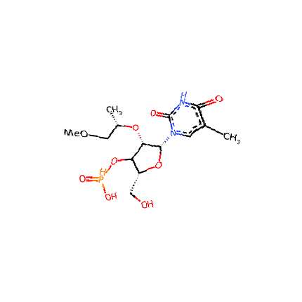 COC[C@H](C)O[C@H]1C(O[PH](=O)O)[C@@H](CO)O[C@H]1n1cc(C)c(=O)[nH]c1=O